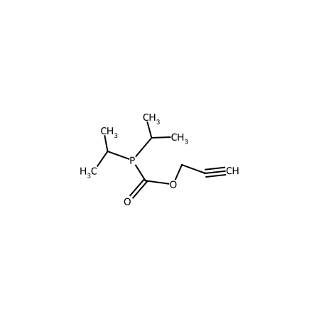 C#CCOC(=O)P(C(C)C)C(C)C